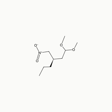 CCC[C@H](CC(OC)OC)C[N+](=O)[O-]